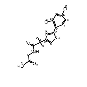 CC(C)(C(=O)NCC(=O)O)c1csc(-c2ccc(Cl)cc2Cl)n1